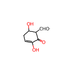 O=[C]C1C(=O)C(O)=CCC1O